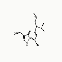 CC(C)C(OC=O)c1cc(Br)c2[nH]cc(C=O)c2c1